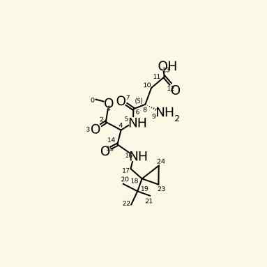 COC(=O)C(NC(=O)[C@@H](N)CC(=O)O)C(=O)NCC1(C(C)(C)C)CC1